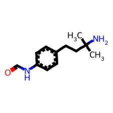 CC(C)(N)CCc1ccc(NC=O)cc1